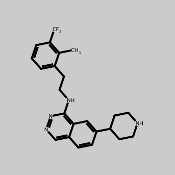 Cc1c(CCNc2nncc3ccc(C4CCNCC4)cc23)cccc1C(F)(F)F